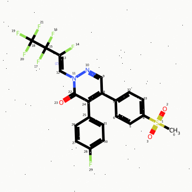 CS(=O)(=O)c1ccc(-c2cnn(/C=C(\F)C(F)(F)C(F)(F)F)c(=O)c2-c2ccc(F)cc2)cc1